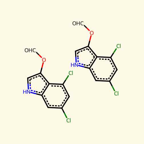 O=COc1c[nH]c2cc(Cl)cc(Cl)c12.O=COc1c[nH]c2cc(Cl)cc(Cl)c12